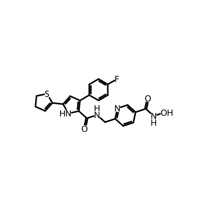 O=C(NO)c1ccc(CNC(=O)c2[nH]c(C3=CCCS3)cc2-c2ccc(F)cc2)nc1